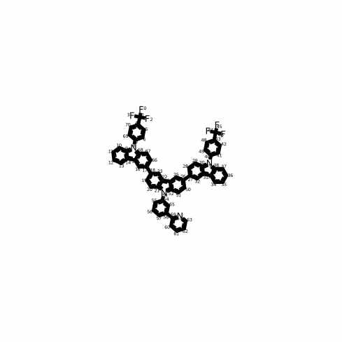 FC(F)(F)c1ccc(-n2c3ccccc3c3cc(-c4ccc5c(c4)c4cc(-c6ccc7c(c6)c6ccccc6n7-c6ccc(C(F)(F)F)cc6)ccc4n5-c4cccc(-c5ccccn5)c4)ccc32)cc1